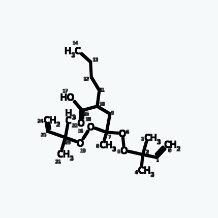 C=CC(C)(C)OOC(C)(CC(CCCC)C(=O)O)OOC(C)(C)C=C